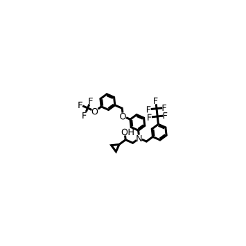 OC(CN(Cc1cccc(C(F)(F)C(F)(F)F)c1)c1cccc(OCc2cccc(OC(F)(F)F)c2)c1)C1CC1